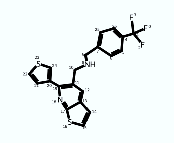 FC(F)(F)c1ccc(CNCc2cc3ccsc3nc2-c2ccsc2)cc1